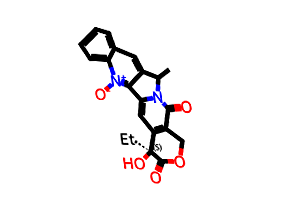 CC[C@@]1(O)C(=O)OCc2c1cc1n(c2=O)C(C)c2cc3ccccc3[n+]([O-])c2-1